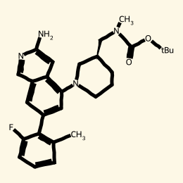 Cc1cccc(F)c1-c1cc(N2CCC[C@H](CN(C)C(=O)OC(C)(C)C)C2)c2cc(N)ncc2c1